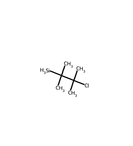 CC(C)([SiH3])C(C)(C)Cl